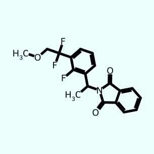 COCC(F)(F)c1cccc(C(C)N2C(=O)c3ccccc3C2=O)c1F